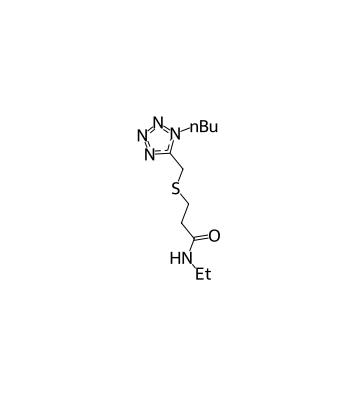 CCCCn1nnnc1CSCCC(=O)NCC